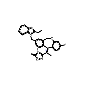 CCc1nc2ccccc2n1Cc1ccc2c(c1)COc1cc(F)ccc1/C2=C(\C)c1noc(=O)[nH]1